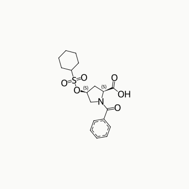 O=C(O)[C@@H]1C[C@H](OS(=O)(=O)C2CCCCC2)CN1C(=O)c1ccccc1